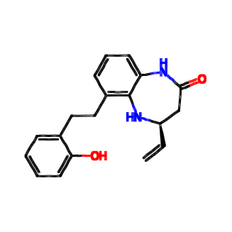 C=C[C@@H]1CC(=O)Nc2cccc(CCc3ccccc3O)c2N1